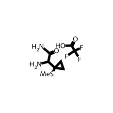 CSC1(C(N)C(N)=O)CC1.O=C(O)C(F)(F)F